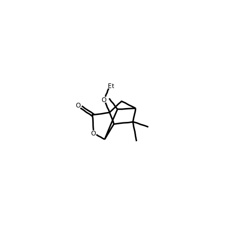 CCOC12CC3C(C)C(OC1=O)C2C3(C)C